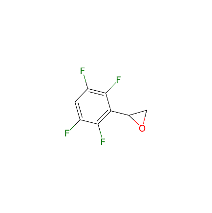 Fc1cc(F)c(F)c(C2CO2)c1F